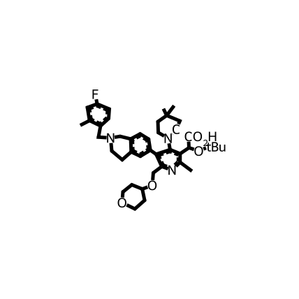 Cc1cc(F)ccc1CN1CCc2cc(-c3c(COC4CCOCC4)nc(C)c(C(OC(C)(C)C)C(=O)O)c3N3CCC(C)(C)CC3)ccc2C1